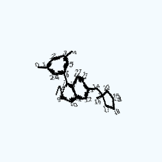 Cc1cc(C)cc(-c2nccc3cc(CC4(C)CCCC4)ccc23)c1